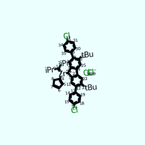 CC(C)[C](C(C)C)=[Zr+2]([C]1=CC=CC1)[CH]1c2cc(-c3ccc(Cl)cc3)c(C(C)(C)C)cc2-c2cc(C(C)(C)C)c(-c3ccc(Cl)cc3)cc21.[Cl-].[Cl-]